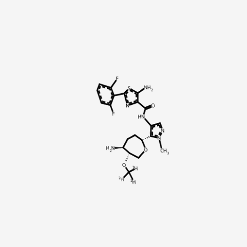 [2H]C([2H])([2H])O[C@H]1CO[C@@H](c2c(NC(=O)c3nc(-c4c(F)cccc4F)sc3N)cnn2C)CC[C@@H]1N